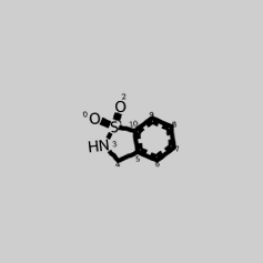 O=S1(=O)N[CH]c2ccccc21